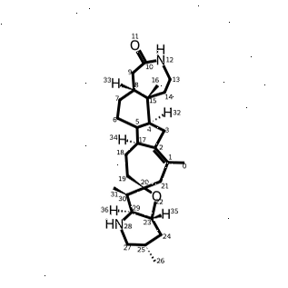 CC1=C2C[C@H]3C(CC[C@@H]4CC(=O)NCC[C@@]43C)[C@@H]2CC[C@@]2(C1)O[C@@H]1C[C@H](C)CN[C@H]1[C@H]2C